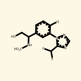 O=C(O)NC(CO)c1ccc(Cl)c(-n2ncnc2C(F)F)c1